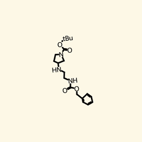 CC(C)(C)OC(=O)N1CCC(NCCNC(=O)OCc2ccccc2)C1